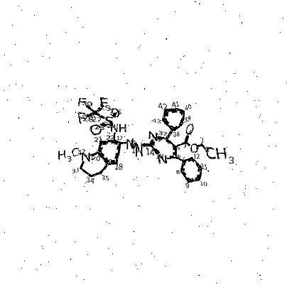 CCOC(=O)c1c(-c2ccccc2)nc(N=Nc2cc3c(cc2NS(=O)(=O)C(F)(F)F)N(C)CCC3)nc1-c1ccccc1